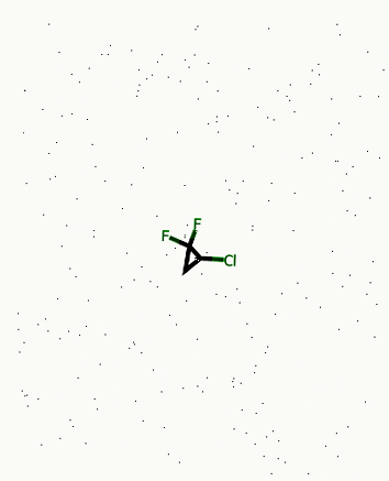 FC1(F)C[C]1Cl